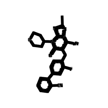 CCCc1c(Cc2ccc(-c3ccccc3C#N)cc2F)c(=O)n(C2CCOCC2)c2nc(C)nn12